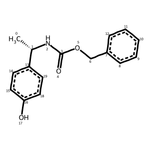 C[C@H](NC(=O)OCc1ccccc1)c1ccc(O)cc1